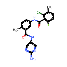 Cc1ccc(NC(=O)c2c(F)ccc(C)c2Cl)cc1C(=O)Nc1cnc(N)nc1